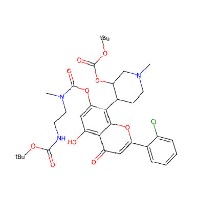 CN1CCC(c2c(OC(=O)N(C)CCNC(=O)OC(C)(C)C)cc(O)c3c(=O)cc(-c4ccccc4Cl)oc23)C(OC(=O)OC(C)(C)C)C1